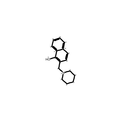 Oc1c(CN2CCCCC2)ccc2ccccc12